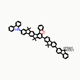 CCCCCCCCC1(CCCCCCC)c2ccccc2-c2ccc(-c3ccc4c(c3)C(C)(C)c3cc(-c5cc6c(c7c5oc5ccccc57)-c5cc7c(cc5C6(C)C)-c5ccc(Nc6ccccc6-c6ccccc6)cc5C7(C)C)ccc3-4)cc21